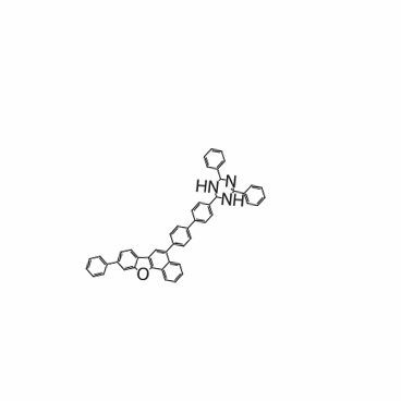 c1ccc(C2=NC(c3ccccc3)NC(c3ccc(-c4ccc(-c5cc6c7ccc(-c8ccccc8)cc7oc6c6ccccc56)cc4)cc3)N2)cc1